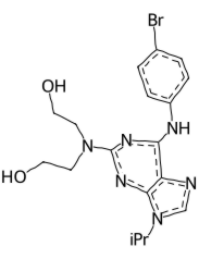 CC(C)n1cnc2c(Nc3ccc(Br)cc3)nc(N(CCO)CCO)nc21